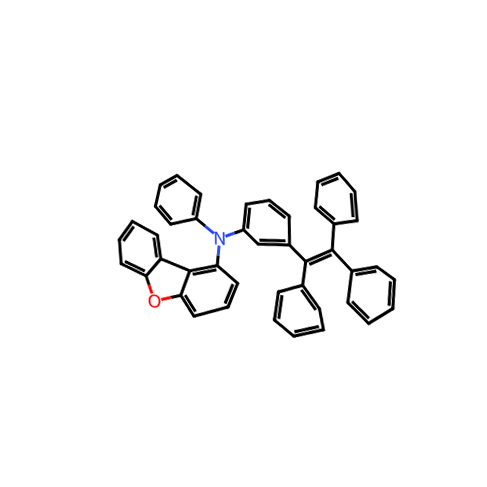 c1ccc(C(=C(c2ccccc2)c2cccc(N(c3ccccc3)c3cccc4oc5ccccc5c34)c2)c2ccccc2)cc1